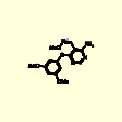 CO/N=C\c1c(N)ncnc1Oc1cc(OC)cc(OC)c1